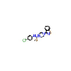 CSC(=Nc1ccc(Cl)cc1)N1CCN(c2nsc3ccccc23)CC1